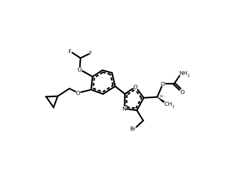 C[C@H](OC(N)=O)c1oc(-c2ccc(OC(F)F)c(OCC3CC3)c2)nc1CBr